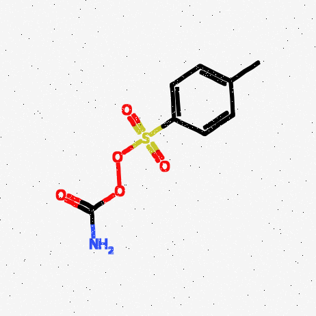 Cc1ccc(S(=O)(=O)OOC(N)=O)cc1